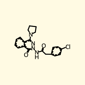 O=C(Cc1ccc(Cl)cc1)Nn1nc(N2CCCC2)c2ccccc2c1=O